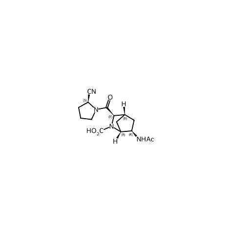 CC(=O)N[C@@H]1C[C@@H]2C[C@H]1N(C(=O)O)[C@H]2C(=O)N1CCC[C@H]1C#N